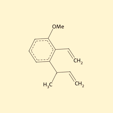 C=C[C](C)c1cccc(OC)c1C=C